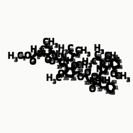 CCOC(=O)CCNC(=O)/C(=C\C(C)C)NC(=O)c1cc(-c2c(OC)ccc(COC(=O)CNC(=O)[C@H](CC3CCCCC3)NC(=O)c3cc(-c4c(OC)cccc4OC)n(CC(C)C)n3)c2OC)n(CC(CC)CC)n1